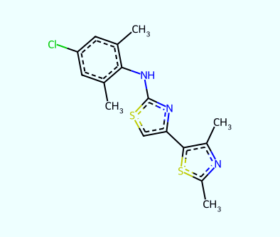 Cc1nc(C)c(-c2csc(Nc3c(C)cc(Cl)cc3C)n2)s1